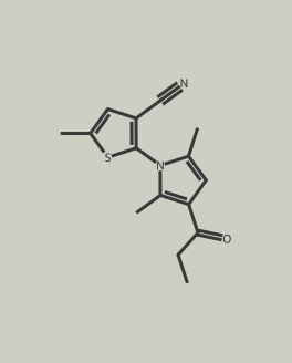 CCC(=O)c1cc(C)n(-c2sc(C)cc2C#N)c1C